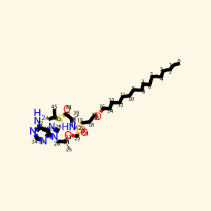 CCCCCCCCCCCCCCCCOCCCP(=O)(CO[C@H](C)Cn1cnc2c(N)ncnc21)N[C@@H](C)C(=O)SC(C)C